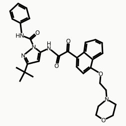 CC(C)(C)c1cc(NC(=O)C(=O)c2ccc(OCCN3CCOCC3)c3ccccc23)n(C(=O)Nc2ccccc2)n1